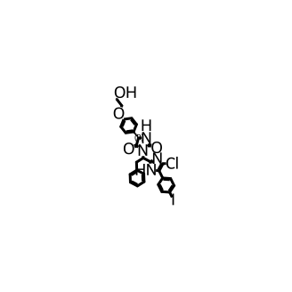 O=C1N[C@H](c2ccc(OCCO)cc2)C(=O)N1C(Cc1ccccc1)c1nc(Cl)c(-c2ccc(I)cc2)[nH]1